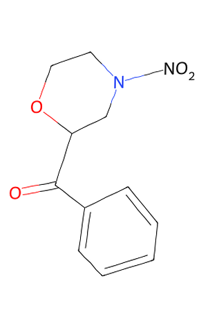 O=C(c1ccccc1)C1CN([N+](=O)[O-])CCO1